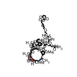 COc1cc2cc(c1Cl)N(C)C(=O)C[C@H](OC(=O)[C@H](C)N(C)C(=O)c1ccc(NC(=O)[C@H](CCCNC(N)=O)NC(=O)[C@@H](NC(=S)NCCOCCOCCC(=O)ON3C(=O)CCC3=O)C(C)C)c3ncccc13)[C@@]1(C)C[C@@H](O1)[C@H](C)[C@@H]1C[C@@](O)(NC(=O)O1)[C@H](OC)/C=C/C=C(\C)C2